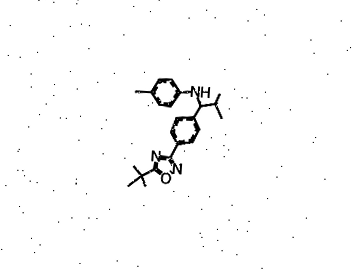 Cc1ccc(NC(c2ccc(-c3noc(C(C)(C)C)n3)cc2)C(C)C)cc1